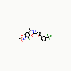 CC(NC(=O)c1ccc(-c2cccc(C(F)(F)F)c2)o1)c1ccc(NS(C)(=O)=O)c(F)c1